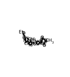 CCOCCOc1nc(C)c(-c2cccc(COc3ccc(B4OC(=O)CN(C)CC(=O)O4)cc3)c2C)c(C)n1